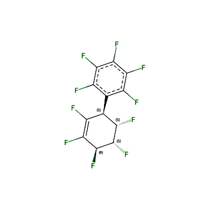 FC1=C(F)[C@@H](c2c(F)c(F)c(F)c(F)c2F)[C@H](F)[C@H](F)[C@H]1F